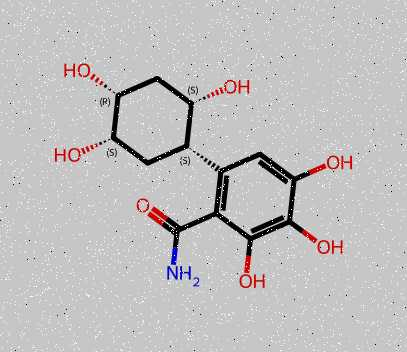 NC(=O)c1c([C@@H]2C[C@H](O)[C@H](O)C[C@@H]2O)cc(O)c(O)c1O